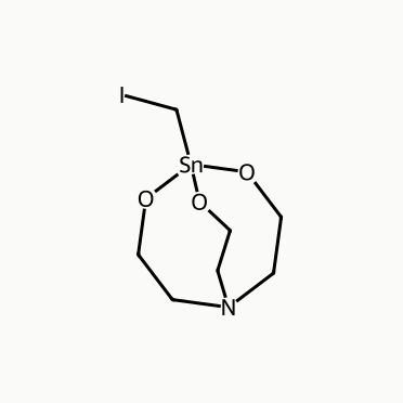 I[CH2][Sn]12[O]CCN(CC[O]1)CC[O]2